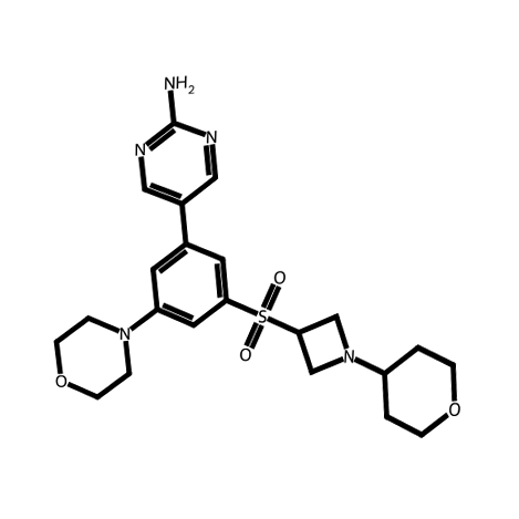 Nc1ncc(-c2cc(N3CCOCC3)cc(S(=O)(=O)C3CN(C4CCOCC4)C3)c2)cn1